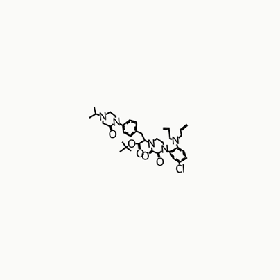 C=CCN(CC=C)c1ccc(Cl)cc1N1CCN(C(Cc2ccc(N3CCN(C(C)C)CC3=O)cc2)C(=O)OC(C)(C)C)C(=O)C1=O